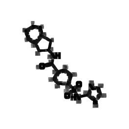 O=C(NC1Cc2ccccc2C1)c1ccc(S(=O)(=O)Nc2nccs2)cc1